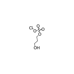 O=S(=O)(OCl)OCCCO